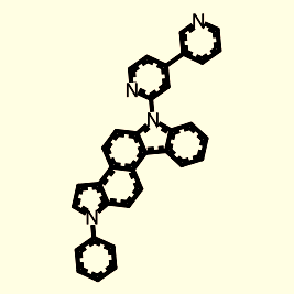 c1ccc(-n2ccc3c4ccc5c(c4ccc32)c2ccccc2n5-c2cc(-c3cccnc3)ccn2)cc1